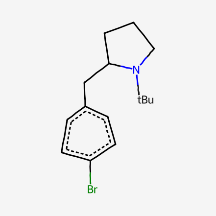 CC(C)(C)N1CCCC1Cc1ccc(Br)cc1